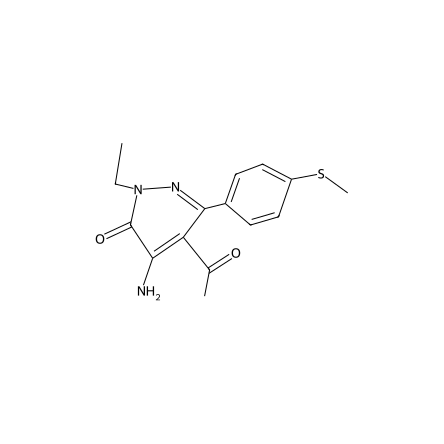 CCn1nc(-c2ccc(SC)cc2)c(C(C)=O)c(N)c1=O